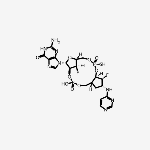 Nc1nc2c(ncn2[C@@H]2O[C@@H]3CO[P@@](=O)(S)O[C@@H]4[C@@H](COP(=O)(O)O[C@@H]2[C@@H]3F)C[C@@H](Nc2ccncn2)[C@@H]4F)c(=O)[nH]1